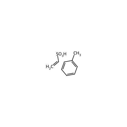 C=CS(=O)(=O)O.Cc1ccccc1